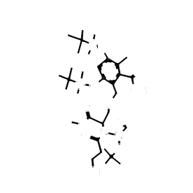 COC(=O)C(CSCc1c(O[Si](C)(C)C(C)(C)C)cc(O[Si](C)(C)C(C)(C)C)c(C)c1C(=O)O)N(C(=O)CCO)N(C=O)OC(C)(C)C